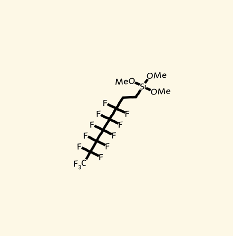 CO[Si](CCC(F)(F)C(F)(F)C(F)(F)C(F)(F)C(F)(F)C(F)(F)F)(OC)OC